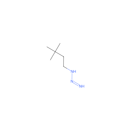 CC(C)(C)CCNN=N